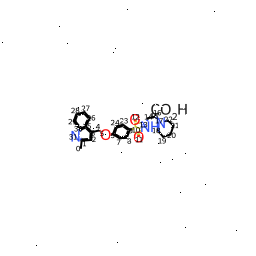 Cc1cc(COc2ccc(S(=O)(=O)NC[C@H](C(=O)O)N3CCCCC3)cc2)c2ccccc2n1